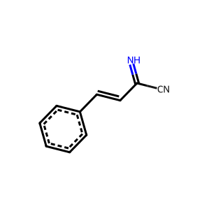 N#CC(=N)/C=C/c1ccccc1